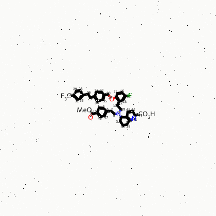 COC(=O)c1ccc(CCN(CCc2cc(F)ccc2OCc2ccc(CCc3ccc(C(F)(F)F)cc3)cc2)C2CCCc3nc(C(=O)O)ccc32)cc1